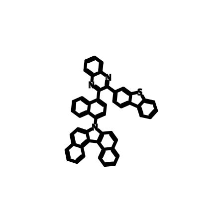 c1ccc2c(c1)ccc1c2c2c3ccccc3ccc2n1-c1ccc(-c2nc3ccccc3nc2-c2ccc3c(c2)sc2ccccc23)c2ccccc12